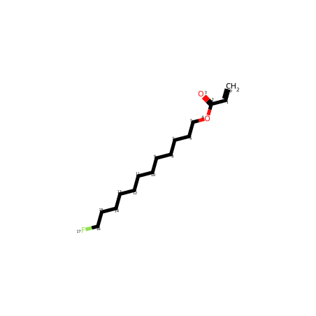 C=CC(=O)OCCCCCCCCCCCCF